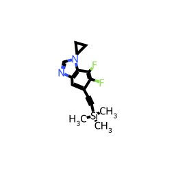 C[Si](C)(C)C#Cc1cc2ncn(C3CC3)c2c(F)c1F